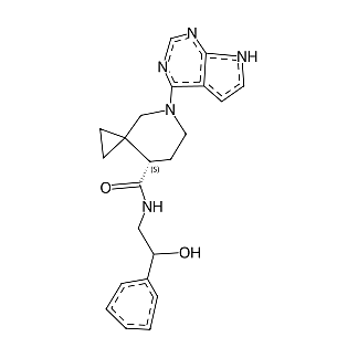 O=C(NCC(O)c1ccccc1)[C@H]1CCN(c2ncnc3[nH]ccc23)CC12CC2